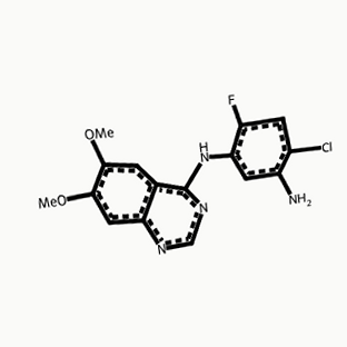 COc1cc2ncnc(Nc3cc(N)c(Cl)cc3F)c2cc1OC